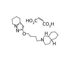 O=C(O)/C=C\C(=O)O.c1c(OCCCCN2CC[C@H]3CCCC[C@@H]3C2)nn2c1CCCC2